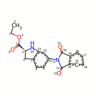 CCOC(=O)[C@@H]1Cc2ccc(N3C(=O)c4ccccc4C3=O)cc2N1